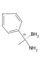 B[C@@](C)(N)c1ccccc1